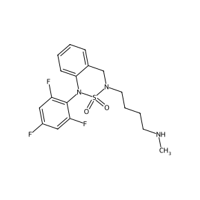 CNCCCCN1Cc2ccccc2N(c2c(F)cc(F)cc2F)S1(=O)=O